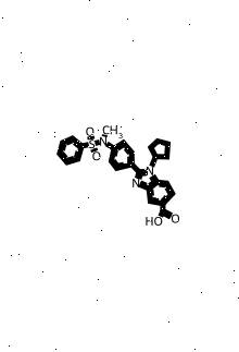 CN(c1ccc(-c2nc3cc(C(=O)O)ccc3n2C2CCCC2)cc1)S(=O)(=O)c1ccccc1